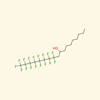 CCCCCCCCC(O)CC(F)(F)C(F)(F)C(F)(F)C(F)(F)C(F)(F)C(F)(F)C(F)(F)C(F)(F)F